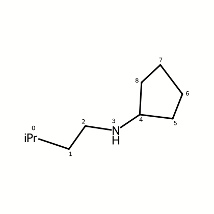 CC(C)CCNC1CCCC1